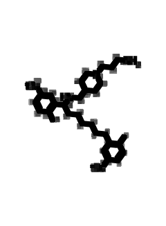 Cc1ccc(C(C)(C)C)cc1CCCCCCC(NCC1CCN(CCCN)CC1)c1cc(C(C)(C)C)ccc1C